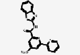 COc1cc(C(=O)Nc2nc3ccccc3s2)nc(-c2ccccn2)c1